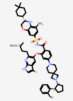 CO[C@H](C)CCc1nc2[nH]cc(F)c2cc1Oc1cc(N2CCC3(CC2)CN([C@H]2CCC[C@H]2c2ccccc2C(C)C)C3)ccc1C(=O)NS(=O)(=O)c1cc2c(c([N+](=O)[O-])c1)N[C@@H](C1CCC(C)(C)CC1)CO2